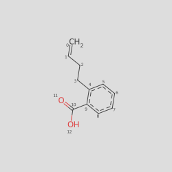 C=CCCc1ccccc1C(=O)O